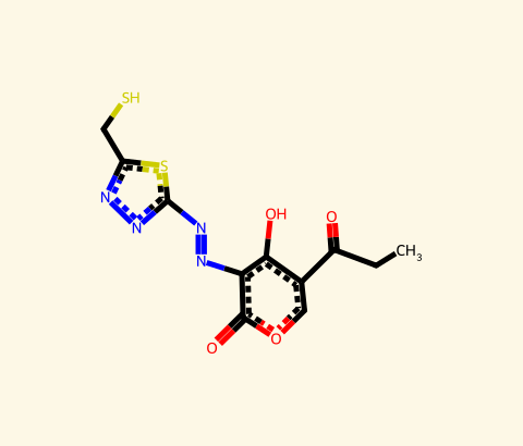 CCC(=O)c1coc(=O)c(N=Nc2nnc(CS)s2)c1O